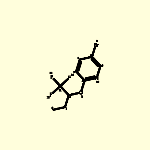 CCC(Oc1ccc(Br)cn1)C(F)(F)F